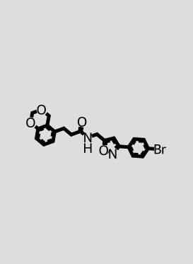 O=C(CCc1cccc2c1COCO2)NCc1cc(-c2ccc(Br)cc2)no1